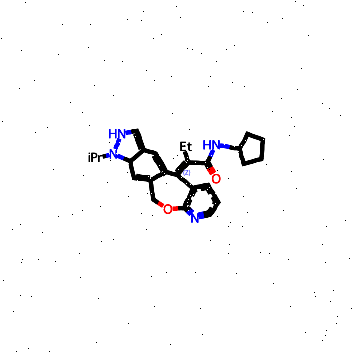 CC/C(C(=O)NC1CCCC1)=C1\C2=CC3=CNN(C(C)C)C3C=C2COc2ncccc21